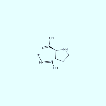 O=C(O)[C@@H]1CCCN1.[O-][NH+]=NO